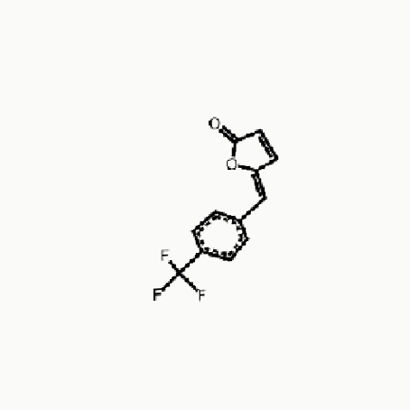 O=C1C=C/C(=C/c2ccc(C(F)(F)F)cc2)O1